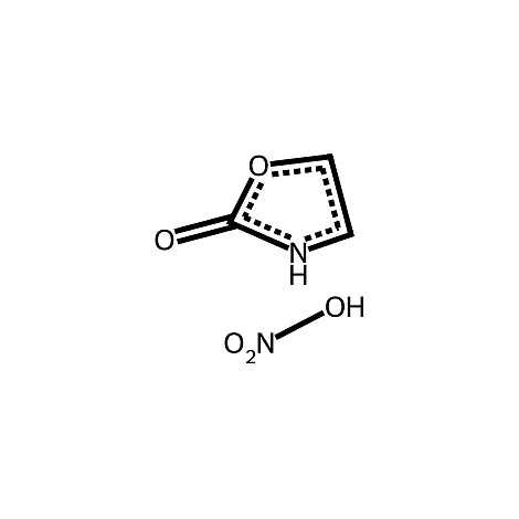 O=[N+]([O-])O.O=c1[nH]cco1